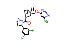 O=C(C1C[C@@H](COc2cc(Br)ncn2)C2CC1C2)N1N=CCC1c1cc(F)cc(F)c1